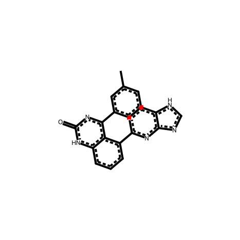 Cc1cccc(-c2nc(=O)[nH]c3cccc(-c4ncc5[nH]cnc5n4)c23)c1